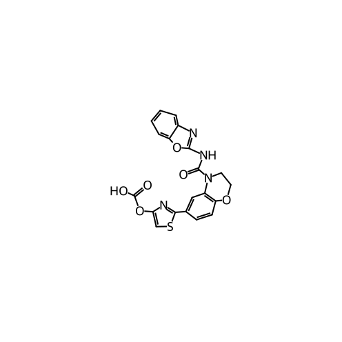 O=C(O)Oc1csc(-c2ccc3c(c2)N(C(=O)Nc2nc4ccccc4o2)CCO3)n1